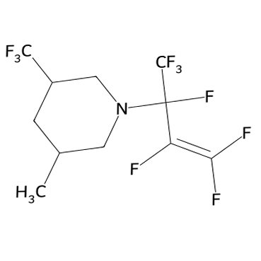 CC1CC(C(F)(F)F)CN(C(F)(C(F)=C(F)F)C(F)(F)F)C1